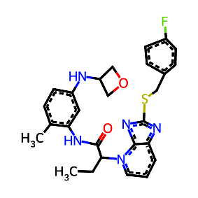 CCC(C(=O)Nc1cc(NC2COC2)ccc1C)n1cccc2nc(SCc3ccc(F)cc3)nc1-2